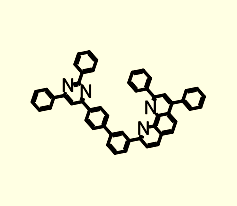 c1ccc(-c2cc(-c3ccc(-c4cccc(-c5ccc6ccc7c(-c8ccccc8)cc(-c8ccccc8)nc7c6n5)c4)cc3)nc(-c3ccccc3)n2)cc1